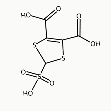 O=C(O)C1=C(C(=O)O)SC(S(=O)(=O)O)S1